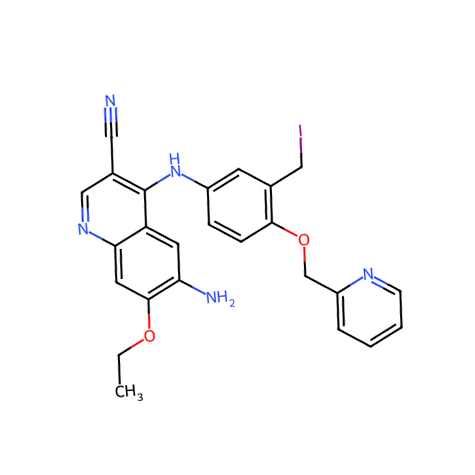 CCOc1cc2ncc(C#N)c(Nc3ccc(OCc4ccccn4)c(CI)c3)c2cc1N